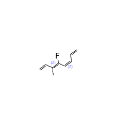 C=C/C=C\C(F)=C(/C)C=C